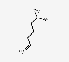 [CH2]C(N)CCCC=C